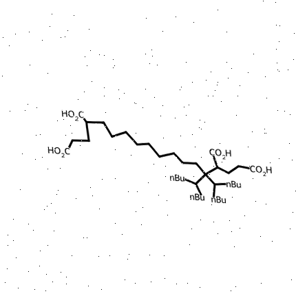 CCCCC(CCCC)C(CCCCCCCCCC(CCC(=O)O)C(=O)O)(C(CCCC)CCCC)C(CCC(=O)O)C(=O)O